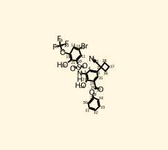 N#CC1(c2cc(NS(=O)(=O)c3cc(Br)cc(OC(F)(F)F)c3O)c(O)c(C(=O)Oc3ccccc3)c2)CCC1